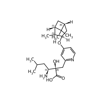 CC(C)C[C@H](N)[C@](O)(Cc1cc(O[C@@H]2C[C@H]3C[C@@H]([C@@H]2C)C3(C)C)ccn1)C(=O)O